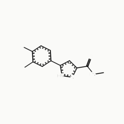 CNC(=O)c1cc(-c2ccc(Cl)c(C)c2)[nH]n1